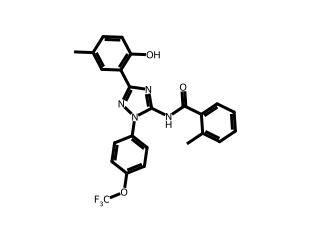 Cc1ccc(O)c(-c2nc(NC(=O)c3ccccc3C)n(-c3ccc(OC(F)(F)F)cc3)n2)c1